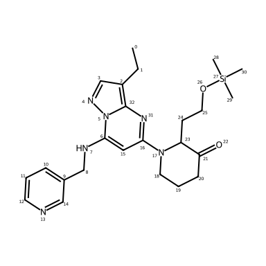 CCc1cnn2c(NCc3cccnc3)cc(N3CCCC(=O)C3CCO[Si](C)(C)C)nc12